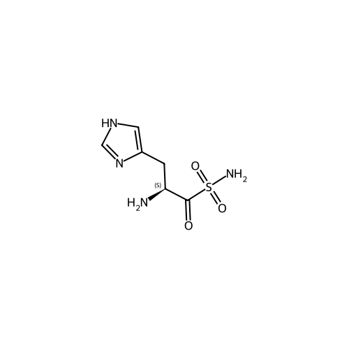 N[C@@H](Cc1c[nH]cn1)C(=O)S(N)(=O)=O